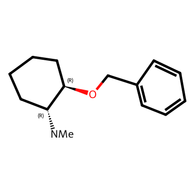 CN[C@@H]1CCCC[C@H]1OCc1ccccc1